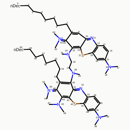 CCCCCCCCCCCCCCCCCc1cc2nc3ccc(N(C)C)cc3sc-2c(N(C)CCN(C)c2c3nc4ccc(N(C)C)cc4sc-3c(N(C)C)c(=[N+](C)C)c2CCCCCCCCCCCCCCCCC)c1=[N+](C)C